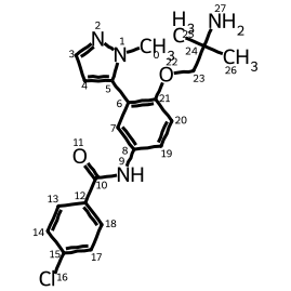 Cn1nccc1-c1cc(NC(=O)c2ccc(Cl)cc2)ccc1OCC(C)(C)N